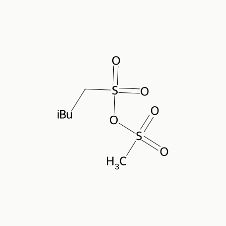 CCC(C)CS(=O)(=O)OS(C)(=O)=O